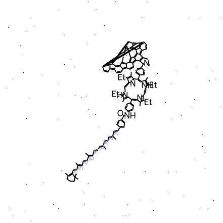 CCC1=C(C)c2nc1cc1[nH]c(c(C)c1CC)c(-c1ccc(NC(=O)c3ccc(/C=C/C(C)=C/C=C/C(C)=C/C=C/C=C(C)/C=C/C=C(C)/C=C/C4=C(C)CCCC4(C)C)cc3)cc1)c1nc(cc3[nH]c(c(C)c3CC)c2-c2ccc(C3c4c(c5c6ccc7c8ccc9c%10ccc%11c%12ccc%13c4c4c5c5c6c7c6c8c9c7c%10c%11c8c%12c%13c4c4c8c7c6c54)CN3C)cc2)C(CC)=C1C